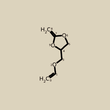 C=COCC1COC(=C)O1